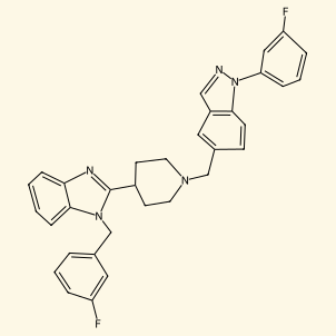 Fc1cccc(Cn2c(C3CCN(Cc4ccc5c(cnn5-c5cccc(F)c5)c4)CC3)nc3ccccc32)c1